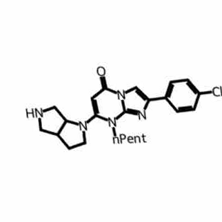 CCCCCn1c(N2CCC3CNCC32)cc(=O)n2cc(-c3ccc(Cl)cc3)nc12